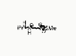 CSC1CC(=O)N(CCCCCC(=O)NCCNC(C)C)C1=O